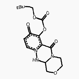 CC(C)(C)COC(=O)Oc1c2n(ccc1=O)NC1COCCN1C2=O